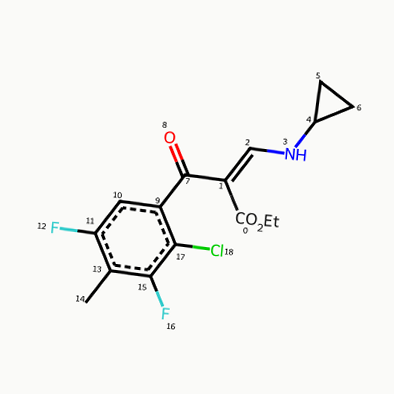 CCOC(=O)/C(=C\NC1CC1)C(=O)c1cc(F)c(C)c(F)c1Cl